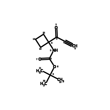 C#CC(=O)C1(NC(=O)OC(C)(C)C)CCC1